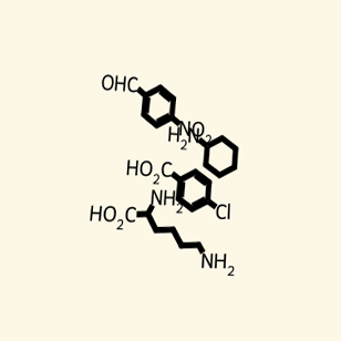 NC1CCCCC1.NCCCCC(N)C(=O)O.O=C(O)c1ccc(Cl)cc1.O=Cc1ccc([N+](=O)[O-])cc1